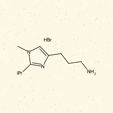 Br.CC(C)c1nc(CCCN)cn1C